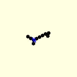 c1ccc(-c2ccc(-c3cc(-c4ccccc4)nc(-c4ccc(-c5ccc(-c6ccc(-c7ccc8c(c7)C7(CCCCC7)c7ccccc7-8)cc6)cc5)cc4)n3)cc2)cc1